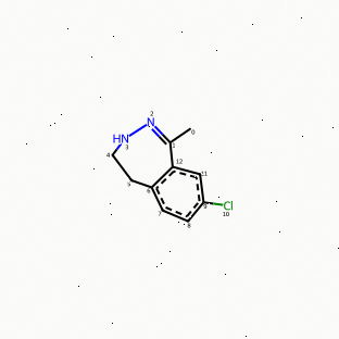 CC1=NNCCc2ccc(Cl)cc21